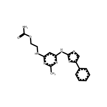 Cc1nc(NCCOC(N)=O)cc(Nc2ncc(-c3ccccc3)s2)n1